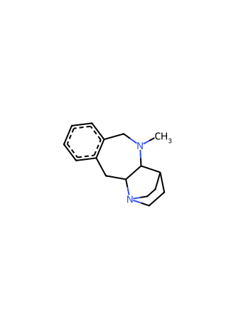 CN1Cc2ccccc2CC2C1C1CCN2CC1